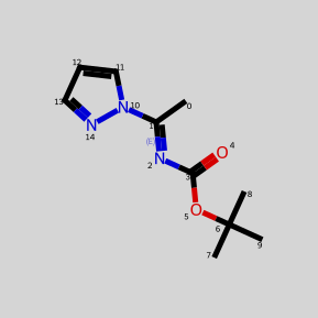 C/C(=N\C(=O)OC(C)(C)C)n1cccn1